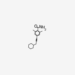 Cc1cc(C#CCC2CCCCC2)cc(C)c1C(N)=O